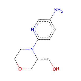 Nc1ccc(N2CCOC[C@H]2CO)nc1